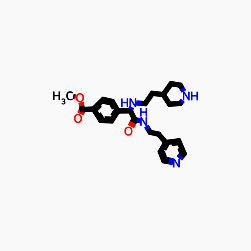 COC(=O)c1ccc(C(NCCC2CCNCC2)C(=O)NCCc2ccncc2)cc1